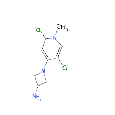 CN1C=C(Cl)C(N2CC(N)C2)=CC1Cl